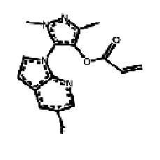 C=CC(=O)Oc1c(C)nn(C)c1-n1ccc2cc(F)cnc21